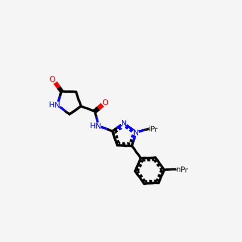 CCCc1cccc(-c2cc(NC(=O)C3CNC(=O)C3)nn2C(C)C)c1